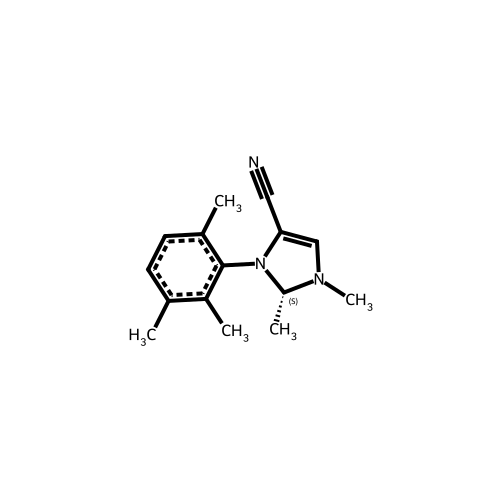 Cc1ccc(C)c(N2C(C#N)=CN(C)[C@@H]2C)c1C